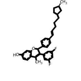 CC1=C(c2cc(F)cc(F)c2)C(c2ccc(/C=C/CCCC3CC[C@@H](C)C3)cc2)Oc2cc(O)ccc21